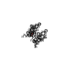 CCC(=O)O[C@]1(C(=O)SCF)[C@H](C)C[C@H]2C3C[C@H](F)C4=CC(=O)C=C[C@]4(C)[C@@]3(F)[C@@H](O)C[C@@]21C.CCC[C@@H]1O[C@@H]2C[C@H]3[C@@H]4CCC5=CC(=O)C=C[C@]5(C)[C@H]4[C@@H](O)C[C@]3(C)[C@]2(C(=O)CO)O1